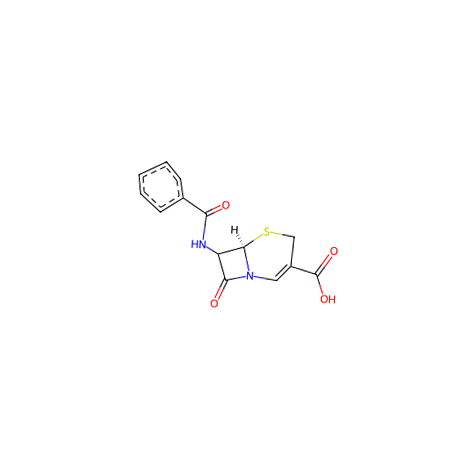 O=C(O)C1=CN2C(=O)C(NC(=O)c3ccccc3)[C@H]2SC1